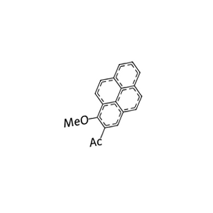 COc1c(C(C)=O)cc2ccc3cccc4ccc1c2c34